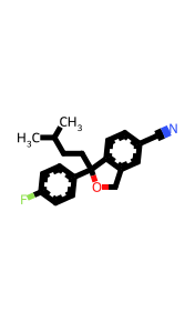 CC(C)CCC1(c2ccc(F)cc2)OCc2cc(C#N)ccc21